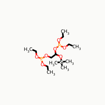 CCOP(OCC)OCC(OP(OCC)OCC)O[Si](C)(C)C